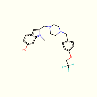 Cn1c(CN2CCN(Cc3ccc(OCC(F)(F)F)cc3)CC2)cc2ccc(O)cc21